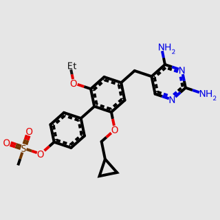 CCOc1cc(Cc2cnc(N)nc2N)cc(OCC2CC2)c1-c1ccc(OS(C)(=O)=O)cc1